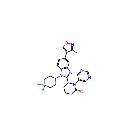 Cc1noc(C)c1-c1ccc2c(c1)nc([C@@H]1CCCC(=O)N1c1cncnc1)n2C1CCC(F)(F)CC1